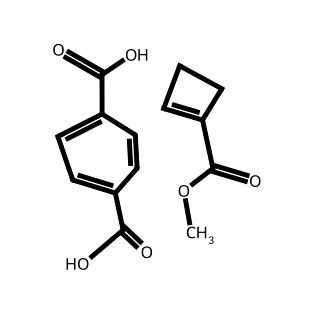 COC(=O)C1=CCC1.O=C(O)c1ccc(C(=O)O)cc1